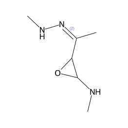 CN/N=C(/C)C1OC1NC